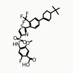 COc1cc(C(=O)O)c(F)cc1NS(=O)(=O)c1csc(-c2ccc(C3=CCC(C(C)(C)C)CC3)cc2C(F)(F)F)n1